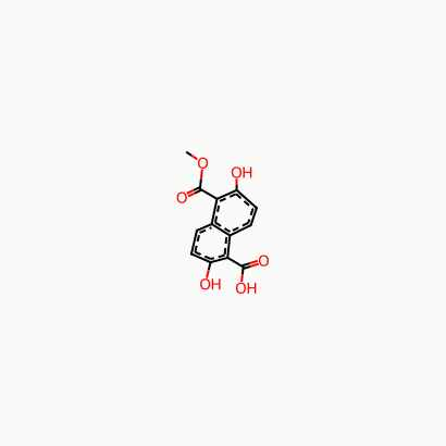 COC(=O)c1c(O)ccc2c(C(=O)O)c(O)ccc12